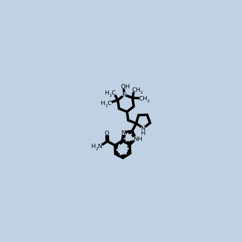 CC1(C)CC(CC2(c3nc4c(C(N)=O)cccc4[nH]3)CCCN2)CC(C)(C)N1O